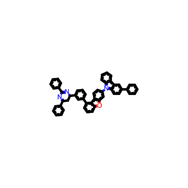 c1ccc(C2=NC(c3ccccc3)=NC(c3cccc(-c4cccc5oc6cc(-n7c8ccccc8c8cc(-c9ccccc9)ccc87)ccc6c45)c3)C2)cc1